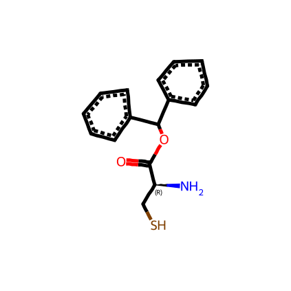 N[C@@H](CS)C(=O)OC(c1ccccc1)c1ccccc1